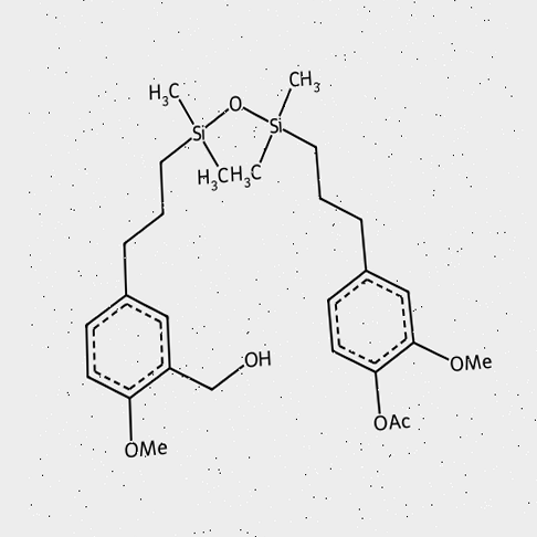 COc1ccc(CCC[Si](C)(C)O[Si](C)(C)CCCc2ccc(OC(C)=O)c(OC)c2)cc1CO